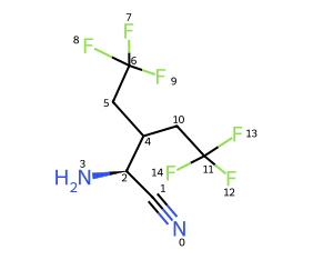 N#C[C@@H](N)C(CC(F)(F)F)CC(F)(F)F